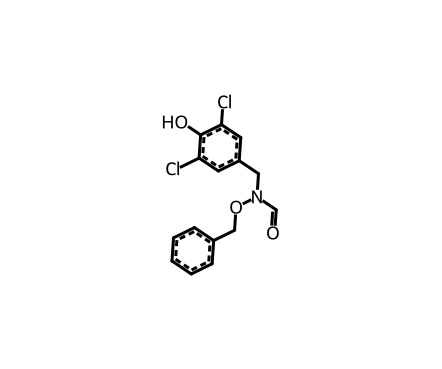 O=CN(Cc1cc(Cl)c(O)c(Cl)c1)OCc1ccccc1